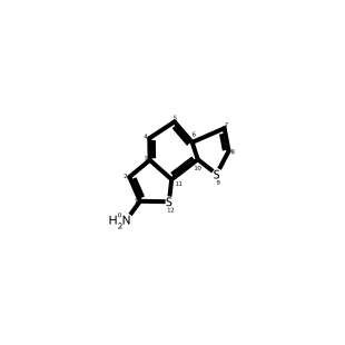 Nc1cc2ccc3ccsc3c2s1